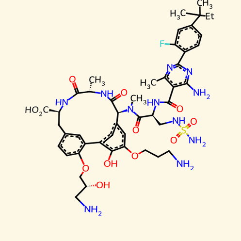 CCC(C)(C)c1ccc(-c2nc(C)c(C(=O)N[C@@H](CNS(N)(=O)=O)C(=O)N(C)[C@@H]3C(=O)N[C@@H](C)C(=O)N[C@H](C(=O)O)Cc4ccc(OC[C@H](O)CN)c(c4)-c4cc3cc(OCCCN)c4O)c(N)n2)c(F)c1